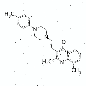 Cc1ccc(N2CCN(CCc3c(C)nc4c(C)cccn4c3=O)CC2)cc1